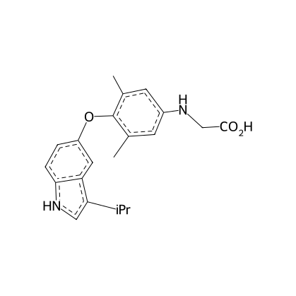 Cc1cc(NCC(=O)O)cc(C)c1Oc1ccc2[nH]cc(C(C)C)c2c1